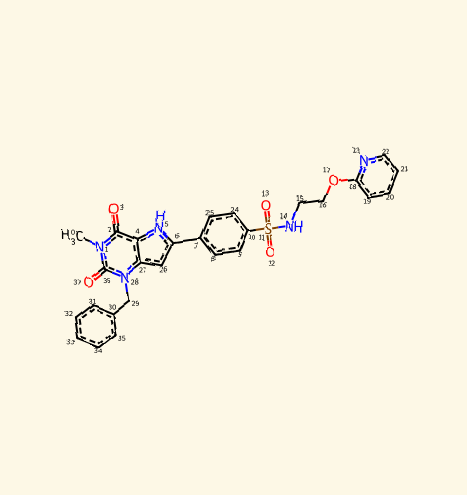 Cn1c(=O)c2[nH]c(-c3ccc(S(=O)(=O)NCCOc4ccccn4)cc3)cc2n(Cc2ccccc2)c1=O